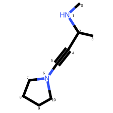 CNC(C)C#CN1CCCC1